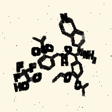 CCOc1cc(C(C(=O)NCc2ccccc2S(=O)(=O)C(C)C)N(N)c2ccc3cnccc3c2)ccc1OC(C)C.O=C(O)C(F)(F)F